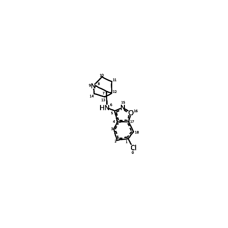 Clc1ccc2c(NC3CN4CCC3CC4)noc2c1